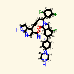 NC(=O)c1cnc2[nH]ccc2c1C#CCC(c1cc(F)ccc1F)N1Cc2c(F)cc(-c3ccc(N4CCNCC4)cc3)cc2C1=O